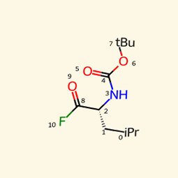 CC(C)C[C@@H](NC(=O)OC(C)(C)C)C(=O)F